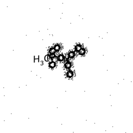 Cn1c(-c2ccccc2)c(-c2ccc(N(c3ccc(-c4ccccc4)cc3)c3ccc(-c4cccc5ccccc45)cc3)cc2)c2c3ccccc3ccc21